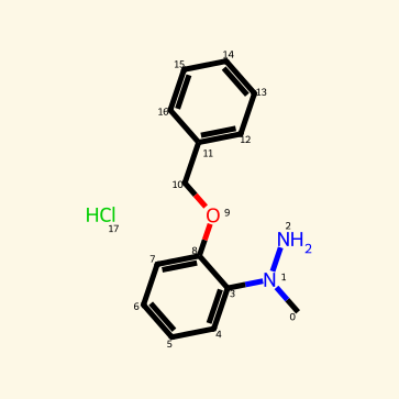 CN(N)c1ccccc1OCc1ccccc1.Cl